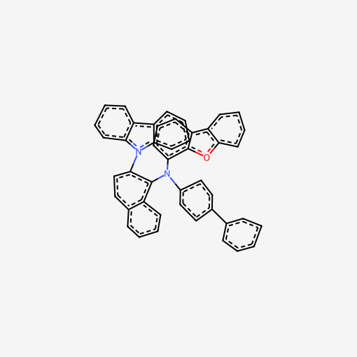 c1ccc(-c2ccc(N(c3c(-n4c5ccccc5c5ccccc54)ccc4ccccc34)c3cccc4c3oc3ccccc34)cc2)cc1